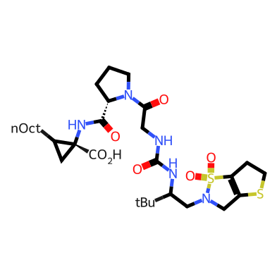 CCCCCCCCC1C[C@]1(NC(=O)[C@@H]1CCCN1C(=O)CNC(=O)NC(CN1CC2=C(CCS2)S1(=O)=O)C(C)(C)C)C(=O)O